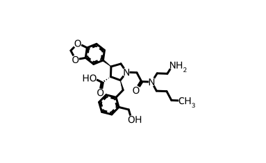 CCCCN(CCN)C(=O)CN1C[C@H](c2ccc3c(c2)OCO3)[C@@H](C(=O)O)[C@@H]1Cc1ccccc1CO